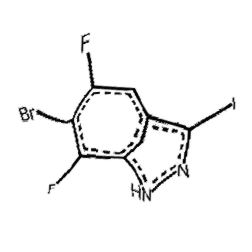 Fc1cc2c(I)n[nH]c2c(F)c1Br